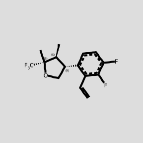 C=Cc1c([C@@H]2CO[C@](C)(C(F)(F)F)[C@H]2C)ccc(F)c1F